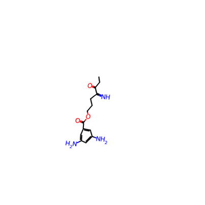 CCC(=O)C(=N)CCCOC(=O)c1cc(N)cc(N)c1